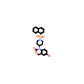 O=C1OCc2cc(Br)ccc2N1C1CCN(S(=O)(=O)c2cccc3ccccc23)CC1